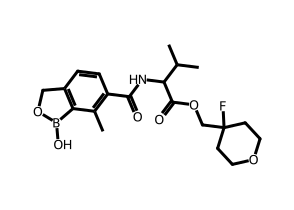 Cc1c(C(=O)NC(C(=O)OCC2(F)CCOCC2)C(C)C)ccc2c1B(O)OC2